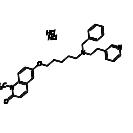 Cl.Cl.Cn1c(=O)ccc2cc(OCCCCCN(CCc3cccnc3)Cc3ccccc3)ccc21